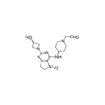 O=CCN1CCC(Nc2nc(N3CC(O)C3)nc3c2[S+]([O-])CC3)CC1